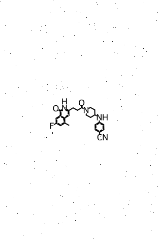 Cc1cc(F)cc2c(=O)[nH]c(CCC(=O)N3CCC(Nc4ccc(C#N)cc4)CC3)cc12